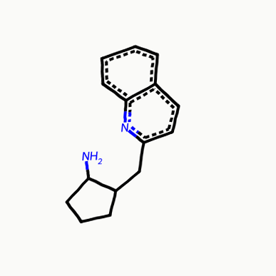 NC1CCCC1Cc1ccc2ccccc2n1